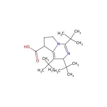 CC(C)(C)C1=NC(C(C)(C)C)C(C(C)(C)C)=C2C(C(=O)O)CCN12